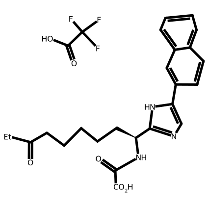 CCC(=O)CCCCC[C@H](NC(=O)C(=O)O)c1ncc(-c2ccc3ccccc3c2)[nH]1.O=C(O)C(F)(F)F